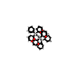 c1ccc(P(c2ccccc2)P(=[N+]=P(c2ccccc2)(c2ccccc2)c2ccccc2)(c2ccccc2)c2ccccc2)cc1